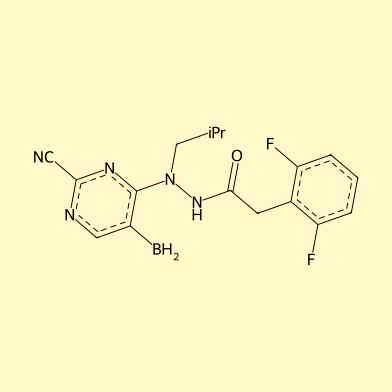 Bc1cnc(C#N)nc1N(CC(C)C)NC(=O)Cc1c(F)cccc1F